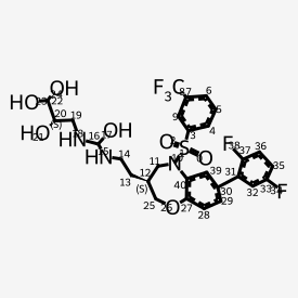 O=S(=O)(c1cccc(C(F)(F)F)c1)N1C[C@H](CCNC(O)NC[C@H](O)C(O)O)COc2ccc(-c3cc(F)ccc3F)cc21